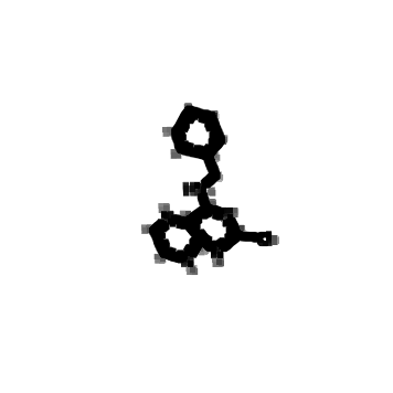 Clc1nc(NCc2ccccc2)c2nccnc2n1